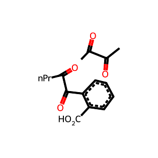 CC(=O)C(C)=O.CCCC(=O)C(=O)c1ccccc1C(=O)O